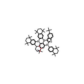 CC(C)(C)c1cc2c3c(c1)N(c1ccc4c(c1)C(C)(C)CCC4(C)C)c1sc4ccc(C(C)(C)C)cc4c1B3c1cc3c(cc1N2c1cc2c(cc1C1CCCCC1)C(C)(C)CCC2(C)C)C(C)(C)CCC3(C)C